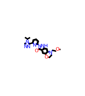 COCCN1CCOc2cc3c(=O)n(-c4cccc(-c5nncn5C(C)C)n4)[nH]c3cc21